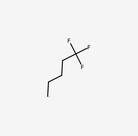 [CH2]CCCC(F)(F)F